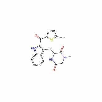 CCc1ccc(C(=O)c2[nH]c3ccccc3c2CC2NC(=O)CN(C)C2=O)s1